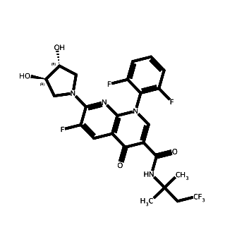 CC(C)(CC(F)(F)F)NC(=O)c1cn(-c2c(F)cccc2F)c2nc(N3C[C@@H](O)[C@H](O)C3)c(F)cc2c1=O